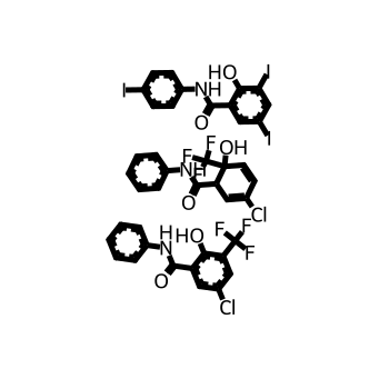 O=C(Nc1ccc(I)cc1)c1cc(I)cc(I)c1O.O=C(Nc1ccccc1)C1C=C(Cl)C=CC1(O)C(F)(F)F.O=C(Nc1ccccc1)c1cc(Cl)cc(C(F)(F)F)c1O